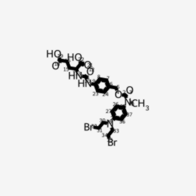 CN(C(=O)OCc1ccc(NC(=O)NC(CCC(=O)O)C(=O)O)cc1)c1ccc(N(CCBr)CCBr)cc1